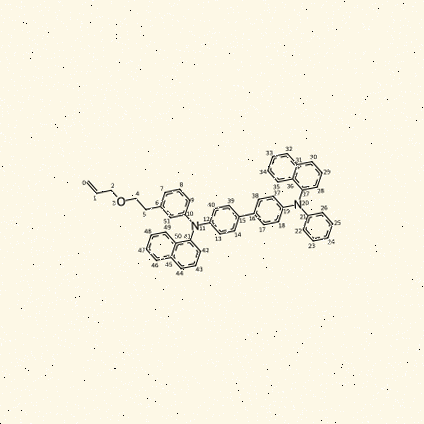 C=CCOCCc1cccc(N(c2ccc(-c3ccc(N(c4ccccc4)c4cccc5ccccc45)cc3)cc2)c2cccc3ccccc23)c1